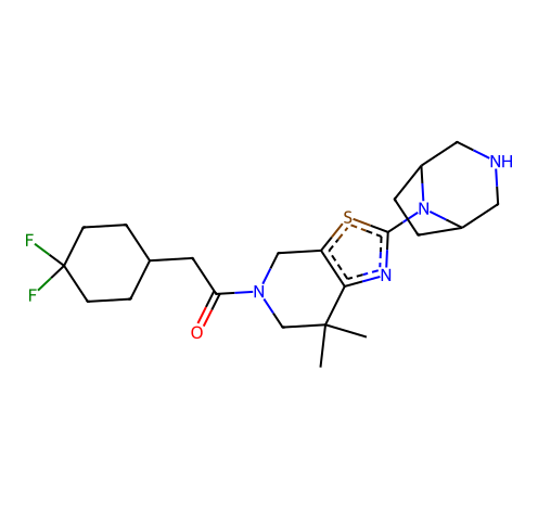 CC1(C)CN(C(=O)CC2CCC(F)(F)CC2)Cc2sc(N3C4CCC3CNC4)nc21